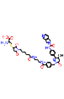 CC1CC(=O)N(Cc2ccc(C(=O)NCCCNC(=O)CCCCCN3C(=O)CC(SC[C@H](N)C(=O)O)C3=O)cc2)N=C1c1ccc(NC(=O)N2Cc3ccncc3C2)cc1